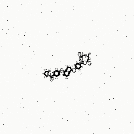 CN1CC(=O)OB(c2ccc(O[C@@H]3CCc4c(Oc5ccc(C(=O)N6CCCC6)cc5)cccc43)cc2)OC(=O)C1